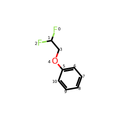 FC(F)COc1ccccc1